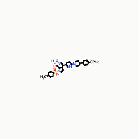 COc1ccc(C2CCN(c3ccc(-c4cn(C)c(=O)c5c4ccn5S(=O)(=O)c4ccc(C)cc4)cn3)CC2)cc1